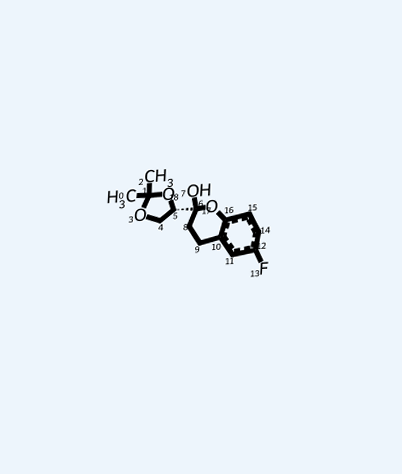 CC1(C)OC[C@@H](C2(O)CCc3cc(F)ccc3O2)O1